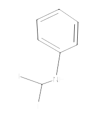 IC(I)Nc1ccccc1